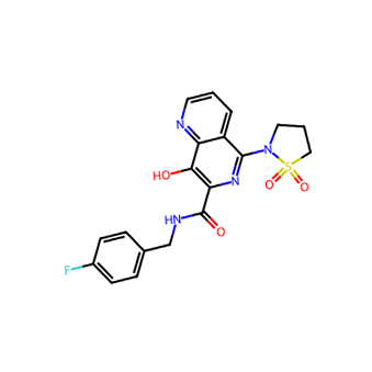 O=C(NCc1ccc(F)cc1)c1nc(N2CCCS2(=O)=O)c2cccnc2c1O